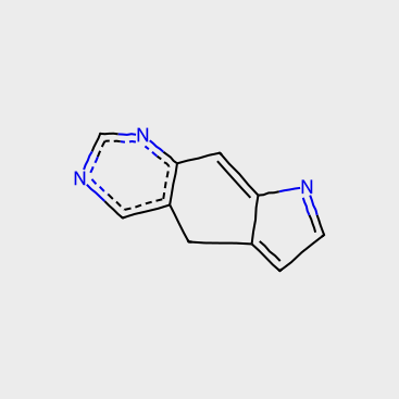 C1=NC2=Cc3ncncc3CC2=C1